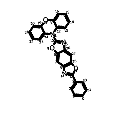 c1ccc(-c2nc3cc4oc(N5c6ccccc6Oc6ccccc65)nc4cc3o2)cc1